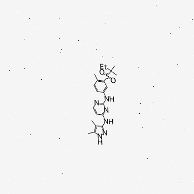 CCC(C)(C)S(=O)(=O)c1cc(Nc2nccc(Nc3n[nH]c(C)c3C)n2)ccc1C